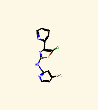 Cc1ccnc(Nc2nc(-c3ccccn3)c(Cl)s2)c1